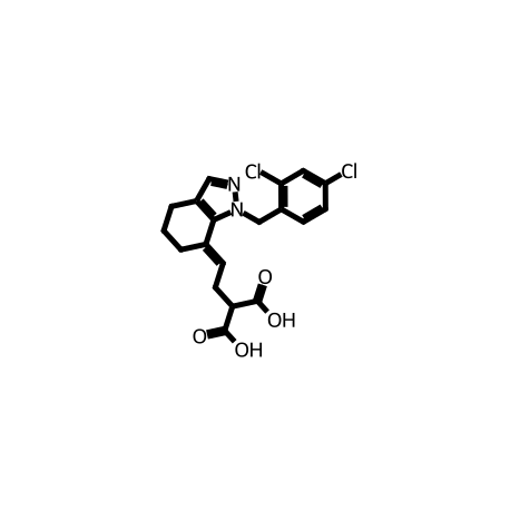 O=C(O)C(CC=C1CCCc2cnn(Cc3ccc(Cl)cc3Cl)c21)C(=O)O